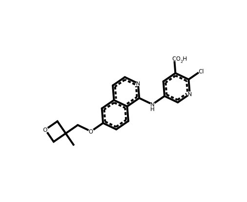 CC1(COc2ccc3c(Nc4cnc(Cl)c(C(=O)O)c4)nccc3c2)COC1